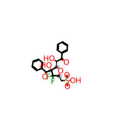 O=C(c1ccccc1)C(O)[C@H]1O[C@@H](CS(=O)(=O)O)C(F)(F)[C@@]1(O)C(=O)c1ccccc1